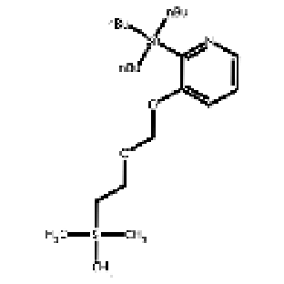 CCC[CH2][Sn]([CH2]CCC)([CH2]CCC)[c]1ncccc1OCOCC[Si](C)(C)C